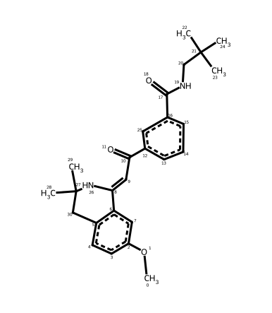 COc1ccc2c(c1)/C(=C/C(=O)c1cccc(C(=O)NCC(C)(C)C)c1)NC(C)(C)C2